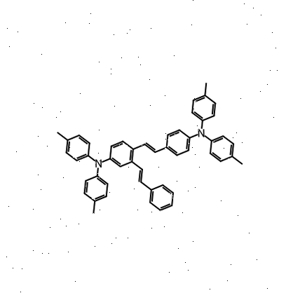 Cc1ccc(N(c2ccc(C)cc2)c2ccc(C=Cc3ccc(N(c4ccc(C)cc4)c4ccc(C)cc4)cc3C=Cc3ccccc3)cc2)cc1